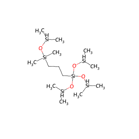 C[SiH](C)O[Si](C)(C)CCC[Si](O[SiH](C)C)(O[SiH](C)C)O[SiH](C)C